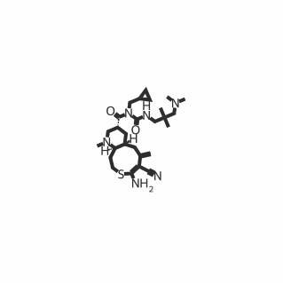 C=C1C[C@H]2C[C@@H](C(=O)N(CC3CC3)C(=O)NCC(C)(C)CN(C)C)CN(C)[C@@H]2CCS/C(N)=C\1C#N